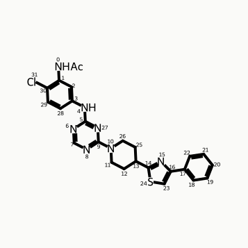 CC(=O)Nc1cc(Nc2ncnc(N3CCC(c4nc(-c5ccccc5)cs4)CC3)n2)ccc1Cl